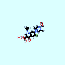 CC1CN(c2cc3c(cc2F)c(=O)c(C(=O)O)cn3C2CC2)C(C)CN1C=O